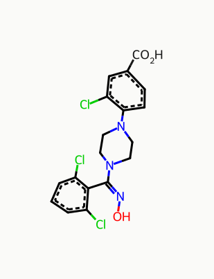 O=C(O)c1ccc(N2CCN(C(=NO)c3c(Cl)cccc3Cl)CC2)c(Cl)c1